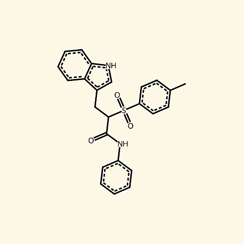 Cc1ccc(S(=O)(=O)C(Cc2c[nH]c3ccccc23)C(=O)Nc2ccccc2)cc1